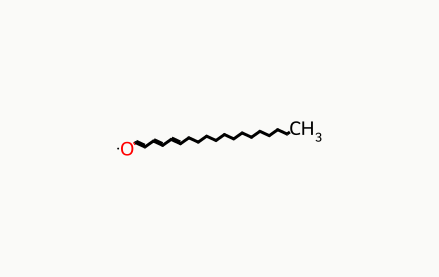 CCCCCCCCCCCCCC=CC=CC=C[O]